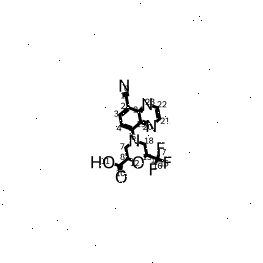 N#Cc1ccc(N2CC(C(=O)O)OC(C(F)(F)F)C2)c2nccnc12